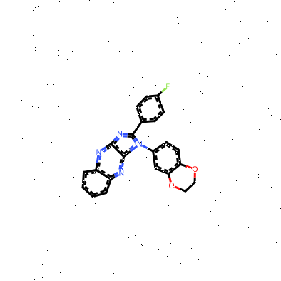 Fc1ccc(-c2nc3nc4ccccc4nc3n2-c2ccc3c(c2)OCCO3)cc1